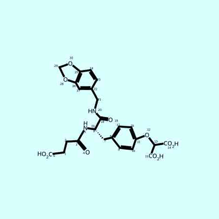 O=C(O)CCC(=O)N[C@@H](Cc1ccc(OC(C(=O)O)C(=O)O)cc1)C(=O)NCc1ccc2c(c1)OCO2